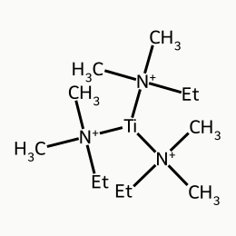 CC[N+](C)(C)[Ti]([N+](C)(C)CC)[N+](C)(C)CC